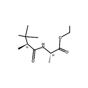 CCOC(=O)[C@H](C)NC(=O)[C@@H](C)C(C)(C)C